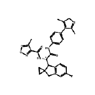 CC1=NCC(C)=C1c1ccc(NC(=O)[C@@H](NC(=O)c2nonc2C)C2c3ccc(F)cc3CC23CC3)cc1